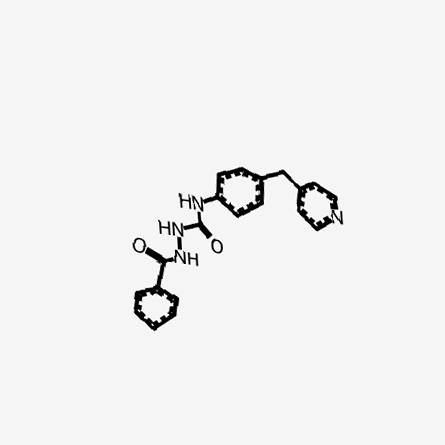 O=C(NNC(=O)c1ccccc1)Nc1ccc(Cc2ccncc2)cc1